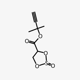 C#CC(C)(C)OC(=O)C1COS(=O)O1